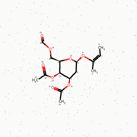 C/C=C(/C)O[C@H]1C[C@@H](OC(C)=O)[C@@H](OC(C)=O)[C@@H](COC=O)O1